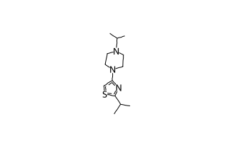 CC(C)c1nc(N2CCN(C(C)C)CC2)cs1